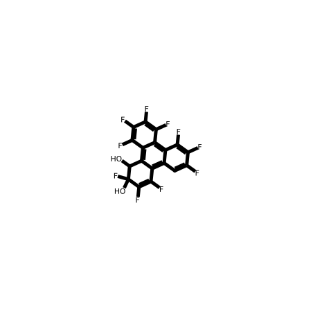 OC1c2c(c3cc(F)c(F)c(F)c3c3c(F)c(F)c(F)c(F)c23)C(F)=C(F)C1(O)F